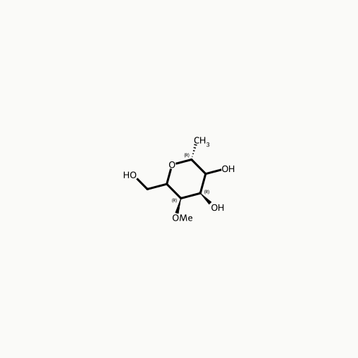 CO[C@H]1C(CO)O[C@H](C)C(O)[C@H]1O